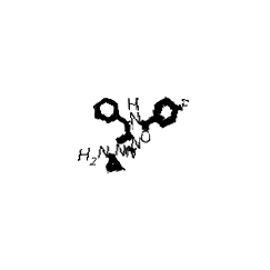 NC1(n2cc([C@@H](NC(=O)c3ccc(F)cc3)C3CCCCC3)nn2)CC1